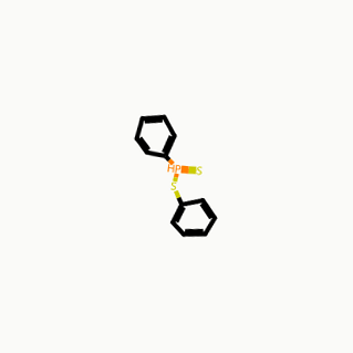 S=[PH](Sc1ccccc1)c1ccccc1